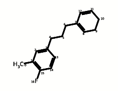 Cc1cc(CCCC2=CCCC=C2)ccc1F